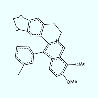 COc1ccc2c(-c3cccc(C)c3)c3[n+](cc2c1OC)CCc1cc2c(cc1-3)OCO2